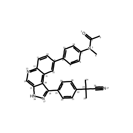 CC(=O)N(C)c1ccc(-c2ccc3ncc4[nH]nc(-c5ccc(C(C)(C)C#N)cc5)c4c3c2)cc1